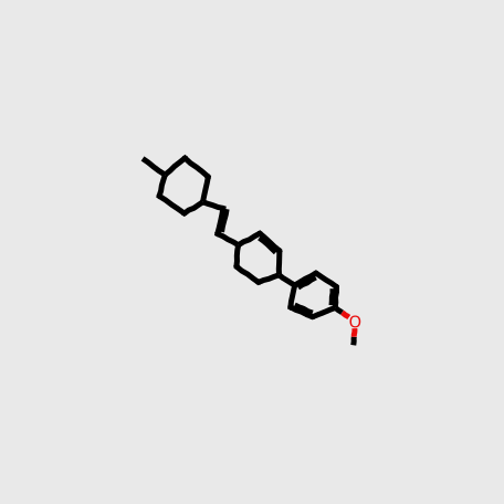 COc1ccc(C2C=CC(/C=C/C3CCC(C)CC3)CC2)cc1